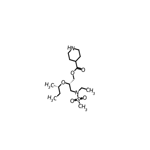 CC[C@H](C)O[C@H](COC(=O)C1CCNCC1)CN(CC)S(C)(=O)=O